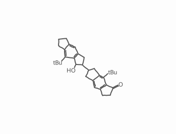 CC(C)(C)c1c2c(cc3c1C(=O)CC3)CC(C1Cc3cc4c(c(C(C)(C)C)c3C1O)CCC4)C2